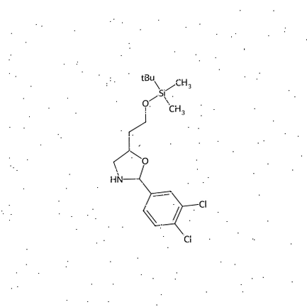 CC(C)(C)[Si](C)(C)OCCC1CNC(c2ccc(Cl)c(Cl)c2)O1